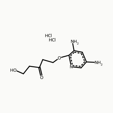 Cl.Cl.Nc1cnc(OCCC(=O)CCO)c(N)c1